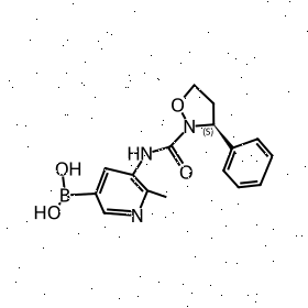 Cc1ncc(B(O)O)cc1NC(=O)N1OCC[C@H]1c1ccccc1